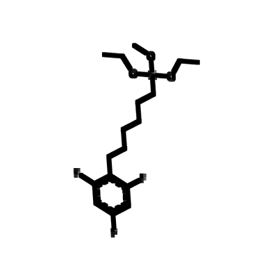 CCO[Si](CCCCCCc1c(F)cc(F)cc1F)(OC)OCC